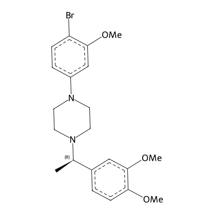 COc1cc(N2CCN([C@H](C)c3ccc(OC)c(OC)c3)CC2)ccc1Br